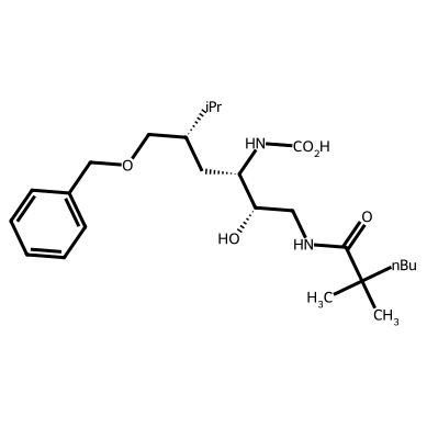 CCCCC(C)(C)C(=O)NC[C@H](O)[C@H](C[C@H](COCc1ccccc1)C(C)C)NC(=O)O